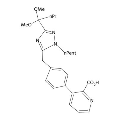 CCCCCn1nc(C(CCC)(OC)OC)nc1Cc1ccc(-c2cccnc2C(=O)O)cc1